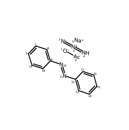 CC(=O)[O-].[N-]=[N+]=N.[Na+].c1ccc(N=Nc2ccccc2)cc1